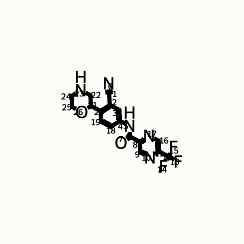 N#Cc1cc(NC(=O)c2cnc(C(F)(F)F)cn2)ccc1C1CNCCO1